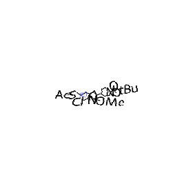 COc1nc(Cl)c(/C=C/CSC(C)=O)cc1C1CCN(C(=O)OC(C)(C)C)CC1